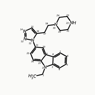 CCn1c2ccccc2c2cc(-n3nncc3CCN3CCNCC3)ccc21